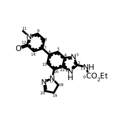 CCOC(=O)Nc1nc2cc(-c3ccn(C)c(=O)c3)cc(N3CCC=N3)c2[nH]1